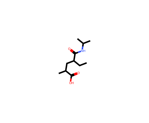 CCC(CC(C)C(=O)O)C(=O)NC(C)C